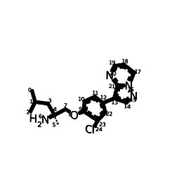 CC(C)C[C@](C)(N)COc1ccc(-c2cnn3cccnc23)cc1Cl